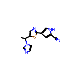 CC(c1cnc(-c2c[nH]c(C#N)c2)s1)n1ccnc1